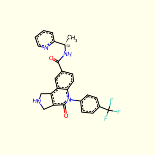 C[C@H](NC(=O)c1ccc2c(c1)c1c(c(=O)n2-c2ccc(C(F)(F)F)cc2)CNC1)c1ccccn1